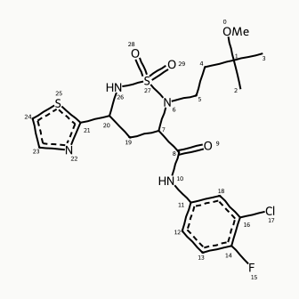 COC(C)(C)CCN1C(C(=O)Nc2ccc(F)c(Cl)c2)CC(c2nccs2)NS1(=O)=O